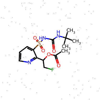 CC(=O)OC(CF)c1ncccc1S(=O)(=O)NC(=O)NC(C)(C)C